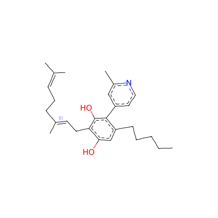 CCCCCc1cc(O)c(C/C=C(\C)CCC=C(C)C)c(O)c1-c1ccnc(C)c1